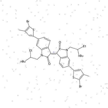 CCCCC(CC)CN1C(=O)/C(=C2/C(=O)N(CC(CC)CCCC)c3cc(-c4cc(C)c(Br)s4)ccc32)c2ccc(-c3cc(C)c(Br)s3)cc21